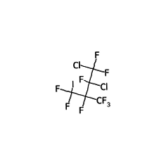 FC(F)(F)C(F)(C(F)(F)I)C(F)(Cl)C(F)(F)Cl